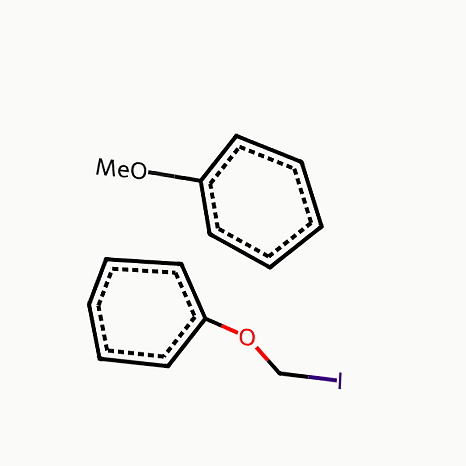 COc1ccccc1.ICOc1ccccc1